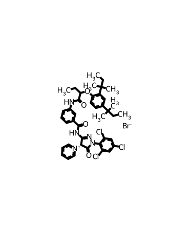 CCC(Oc1ccc(C(C)(C)CC)cc1C(C)(C)CC)C(=O)Nc1cccc(C(=O)NC2=NN(c3c(Cl)cc(Cl)cc3Cl)C(=O)C2[n+]2ccccc2)c1.[Br-]